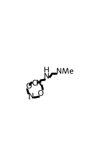 CNCCCNCCN1CCOCCN(C)CCOCC1